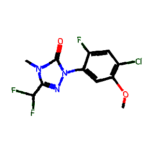 COc1cc(-n2nc(C(F)F)n(C)c2=O)c(F)cc1Cl